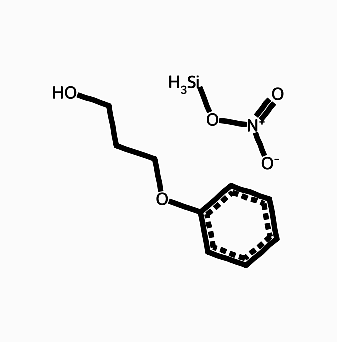 O=[N+]([O-])O[SiH3].OCCCOc1ccccc1